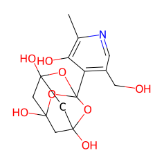 Cc1ncc(CO)c(C23OC4(O)CC(O)(CC(O)(C4)O2)O3)c1O